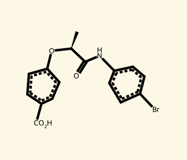 C[C@H](Oc1ccc(C(=O)O)cc1)C(=O)Nc1ccc(Br)cc1